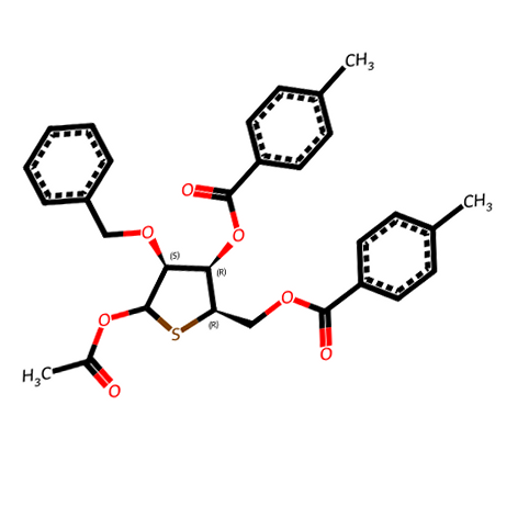 CC(=O)OC1S[C@H](COC(=O)c2ccc(C)cc2)[C@H](OC(=O)c2ccc(C)cc2)[C@@H]1OCc1ccccc1